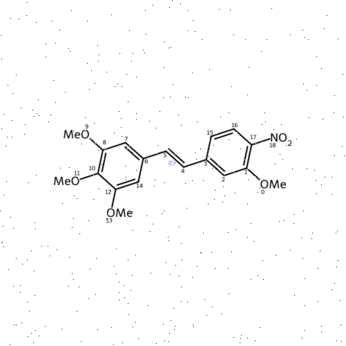 COc1cc(/C=C/c2cc(OC)c(OC)c(OC)c2)ccc1[N+](=O)[O-]